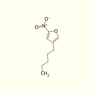 [CH2]CCCCc1coc([N+](=O)[O-])c1